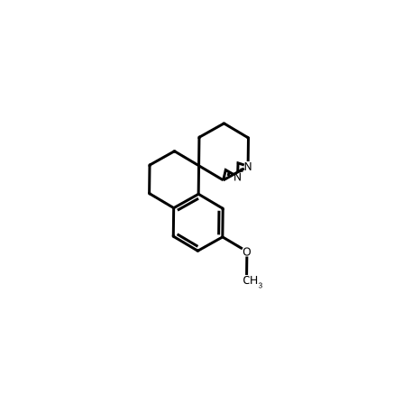 COc1ccc2c(c1)C1(CCC2)CCCn2cncc21